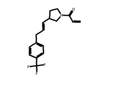 C=CC(=O)N1CCC(C=CCc2ccc(C(F)(F)F)cc2)C1